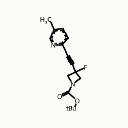 Cc1ccc(C#CC2(F)CN(C(=O)OC(C)(C)C)C2)nc1